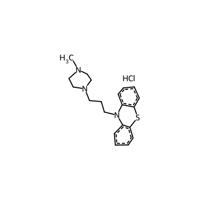 CN1CCN(CCCN2c3ccccc3Sc3ccccc32)CC1.Cl